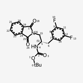 CC(C)(C)OC(=O)N[C@@H](Cc1cc(F)cc(F)c1)CN1C(=O)c2ccccc2C1=O